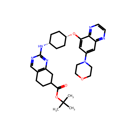 CC(C)(C)OC(=O)C1CCc2cnc(N[C@H]3CC[C@@H](Oc4cc(N5CCOCC5)cc5nccnc45)CC3)nc2C1